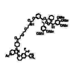 CC[C@H](C(=O)N1CCCC[C@H]1C(=O)O[C@H](CCc1ccc(OC)c(OC)c1)c1cccc(OCC(=O)NCCOCCOCCC(=O)N2CCC(n3nc(N4CCCc5cc(-c6cnn(C)c6)c(C(F)F)cc54)c4c3CCN(C(C)=O)C4)CC2)c1)c1cc(OC)c(OC)c(OC)c1